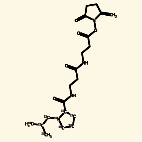 C=C1CCC(=O)N1OC(=O)CCNC(=O)CCNC(=O)[13CH]1[13CH2][13CH2][13CH2][15N]1[13CH2][13CH]([13CH3])[13CH3]